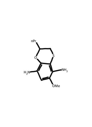 CCCC1CSc2c(N)c(OC)cc(N)c2O1